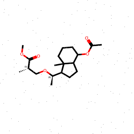 COC(=O)[C@@H](C)CO[C@H](C)C1CCC2C(OC(C)=O)CCCC21C